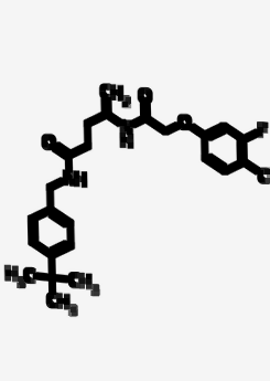 C=C(CCC(=O)NCc1ccc(C(C)(C)C)cc1)NC(=O)COc1ccc(Cl)c(F)c1